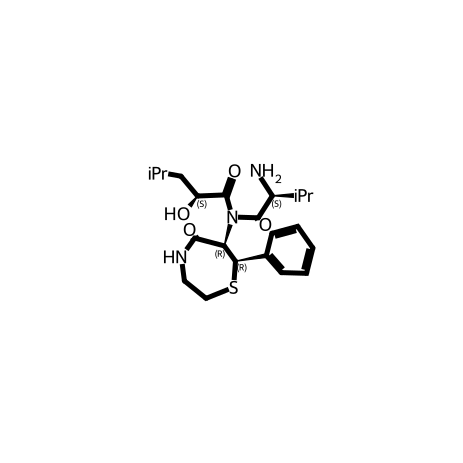 CC(C)C[C@H](O)C(=O)N(C(=O)[C@@H](N)C(C)C)[C@@H]1C(=O)NCCS[C@@H]1c1ccccc1